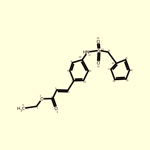 CCOC(=O)/C=C/c1ccc(NS(=O)(=O)Cc2ccccc2)cc1